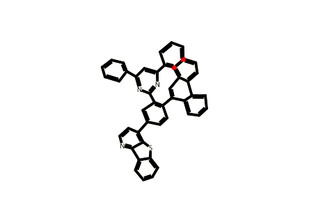 c1ccc(-c2cc(-c3ccccc3)nc(-c3cc(-c4ccnc5c4sc4ccccc45)ccc3-c3cc4ccccc4c4ccccc34)n2)cc1